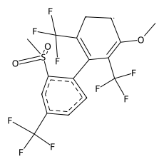 COC1=C(C(F)(F)F)C(c2ccc(C(F)(F)F)cc2S(C)(=O)=O)=C(C(F)(F)F)C[CH]1